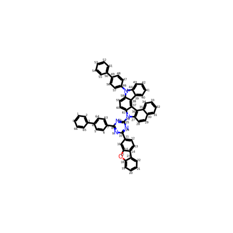 c1ccc(-c2ccc(-c3nc(-c4ccc5c(c4)oc4ccccc45)nc(-n4c5ccc6ccccc6c5c5c6c7ccccc7n(-c7ccc(-c8ccccc8)cc7)c6ccc54)n3)cc2)cc1